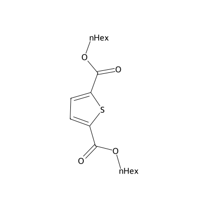 CCCCCCOC(=O)c1ccc(C(=O)OCCCCCC)s1